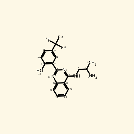 CC(N)CNc1nc(-c2cc(C(F)(F)F)ccc2O)nc2ccccc12